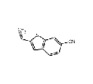 C=Cc1cc2ccc(C#N)cc2s1